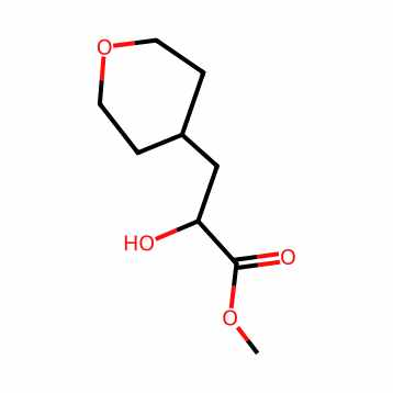 COC(=O)C(O)CC1CCOCC1